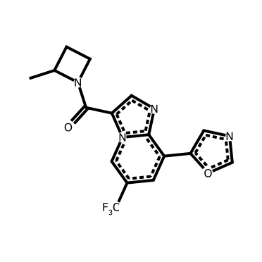 CC1CCN1C(=O)c1cnc2c(-c3cnco3)cc(C(F)(F)F)cn12